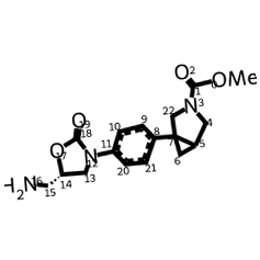 COC(=O)N1CC2CC2(c2ccc(N3C[C@H](CN)OC3=O)cc2)C1